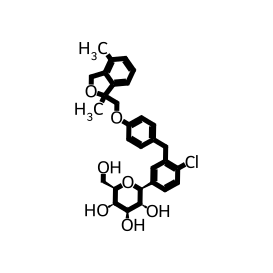 Cc1cccc2c1COC2(C)COc1ccc(Cc2cc([C@@H]3O[C@H](CO)[C@@H](O)[C@H](O)[C@H]3O)ccc2Cl)cc1